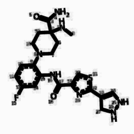 CNC1(C(N)=O)CCN(c2ccc(F)cc2NC(=O)c2csc(C3=CNNC3)n2)CC1